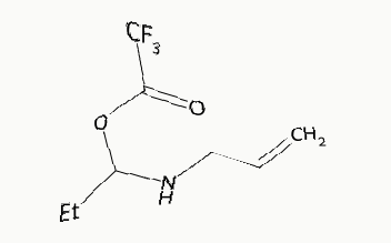 C=CCNC(CC)OC(=O)C(F)(F)F